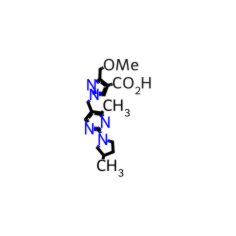 COCc1nn(Cc2cnc(N3CCC(C)C3)nc2C)cc1C(=O)O